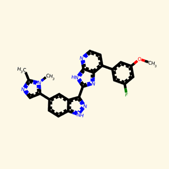 COc1cc(F)cc(-c2ccnc3[nH]c(-c4n[nH]c5ccc(-c6cnc(C)n6C)cc45)nc23)c1